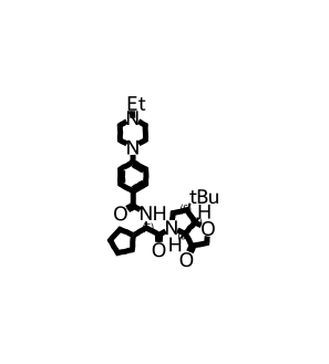 CCN1CCN(c2ccc(C(=O)N[C@H](C(=O)N3C[C@H](C(C)(C)C)[C@H]4OCC(=O)[C@H]43)C3CCCC3)cc2)CC1